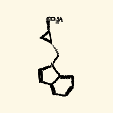 O=C(O)[C@@H]1C[C@H]1Cn1ccc2ccccc21